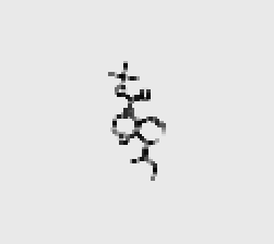 C/C=C\C1=C(C(/C)=C(\C)CC)OCCN1C(=O)OC(C)(C)C